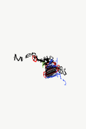 COC(=O)CCC#Cc1cc(C)cc(OC[C@H](CCC(N)=O)NC(=O)OC(C)(C)C)c1F